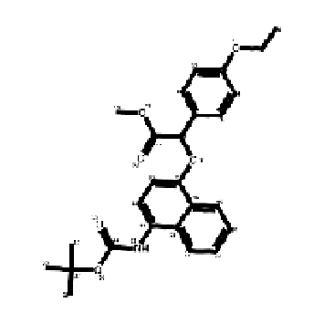 CCOc1ccc(C(Oc2ccc(NC(=O)OC(C)(C)C)c3ccccc23)C(=O)OC)cc1